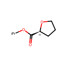 CC(C)OC(=O)[C@@H]1CCCO1